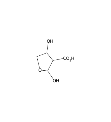 O=C(O)C1C(O)COC1O